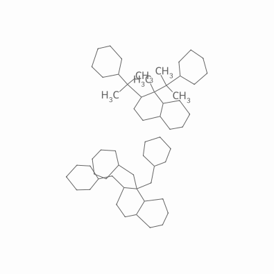 C1CCC(CC2CCC3CCCCC3C2(CC2CCCCC2)CC2CCCCC2)CC1.CC(C)(C1CCCCC1)C1CCC2CCCCC2C1(C)C(C)(C)C1CCCCC1